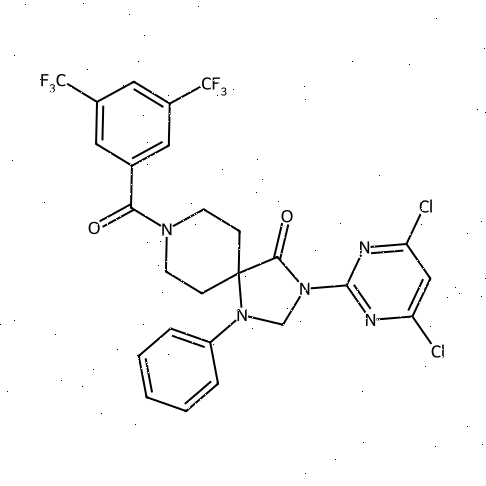 O=C(c1cc(C(F)(F)F)cc(C(F)(F)F)c1)N1CCC2(CC1)C(=O)N(c1nc(Cl)cc(Cl)n1)CN2c1ccccc1